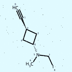 C#C[C@H]1C[C@H](N(C)CI)C1